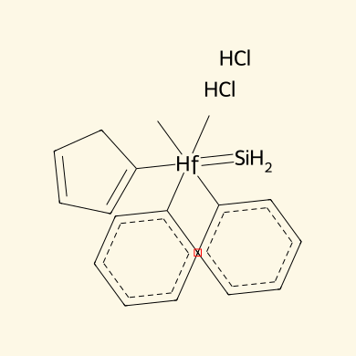 Cl.Cl.[CH3][Hf]([CH3])(=[SiH2])([C]1=CC=CC1)([c]1ccccc1)[c]1ccccc1